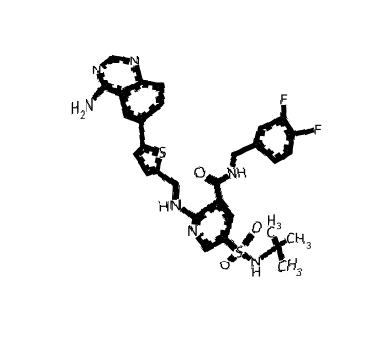 CC(C)(C)NS(=O)(=O)c1cnc(NCc2ccc(-c3ccc4ncnc(N)c4c3)s2)c(C(=O)NCc2ccc(F)c(F)c2)c1